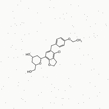 CCOc1ccc(Cc2cc(C3CC(O)CC(CO)O3)c3c(c2Cl)CCO3)cc1